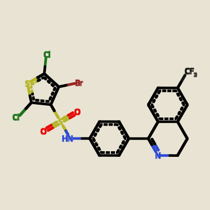 O=S(=O)(Nc1ccc(C2=NCCc3cc(C(F)(F)F)ccc32)cc1)c1c(Cl)sc(Cl)c1Br